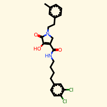 Cc1cccc(CCN2CC(C(=O)NCCCCc3ccc(Cl)c(Cl)c3)=C(O)C2=O)c1